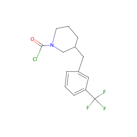 O=C(Cl)N1CCCC(Cc2cccc(C(F)(F)F)c2)C1